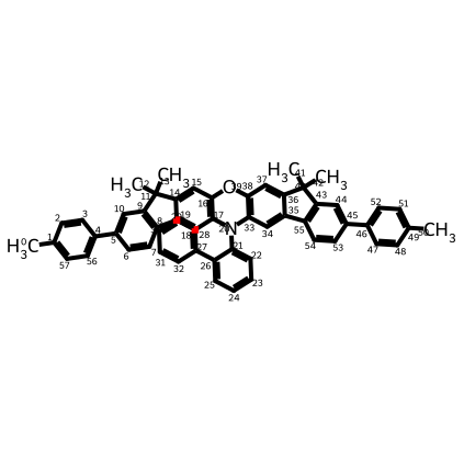 Cc1ccc(-c2ccc3c(c2)C(C)(C)c2cc4c(cc2-3)N(c2ccccc2-c2ccccc2)c2cc3c(cc2O4)C(C)(C)c2cc(-c4ccc(C)cc4)ccc2-3)cc1